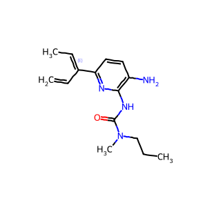 C=C/C(=C\C)c1ccc(N)c(NC(=O)N(C)CCC)n1